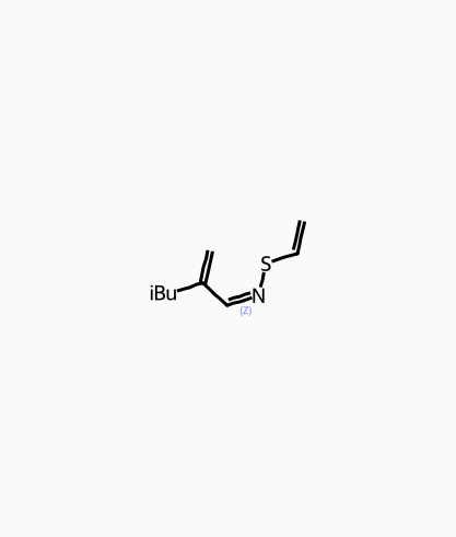 C=CS/N=C\C(=C)C(C)CC